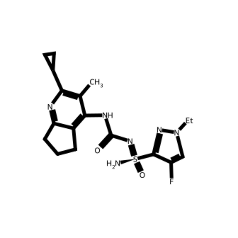 CCn1cc(F)c([S@](N)(=O)=NC(=O)Nc2c(C)c(C3CC3)nc3c2CCC3)n1